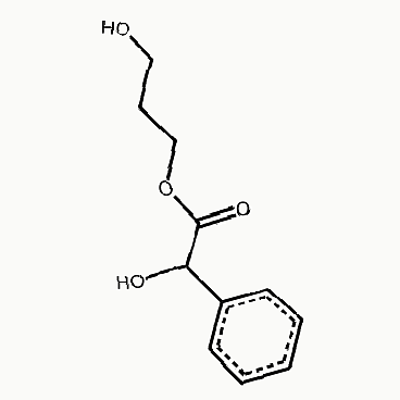 O=C(OCCCO)C(O)c1ccccc1